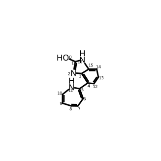 Oc1nc2c(C3=CC=CC=CN3)cccc2[nH]1